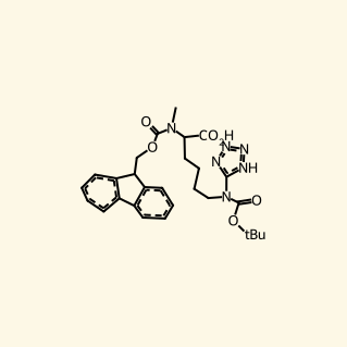 CN(C(=O)OCC1c2ccccc2-c2ccccc21)C(CCCCN(C(=O)OC(C)(C)C)c1nnn[nH]1)C(=O)O